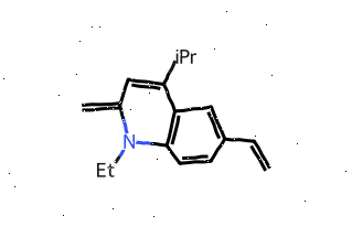 C=Cc1ccc2c(c1)C(C(C)C)=CC(=C)N2CC